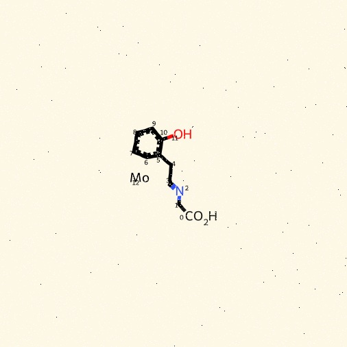 O=C(O)CN=CCc1ccccc1O.[Mo]